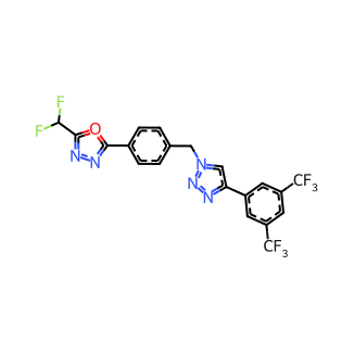 FC(F)c1nnc(-c2ccc(Cn3cc(-c4cc(C(F)(F)F)cc(C(F)(F)F)c4)nn3)cc2)o1